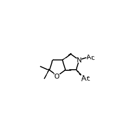 CC(=O)C1C2OC(C)(C)CC2CN1C(C)=O